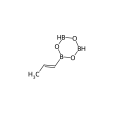 CC=CB1OBOBO1